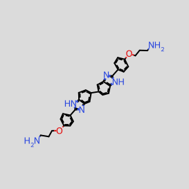 NCCCOc1ccc(-c2nc3cc(-c4ccc5[nH]c(-c6ccc(OCCCN)cc6)nc5c4)ccc3[nH]2)cc1